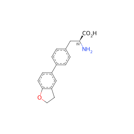 N[C@@H](Cc1ccc(-c2ccc3c(c2)CCO3)cc1)C(=O)O